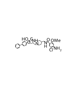 COc1cc(N)c(Cl)cc1C(=O)NCC1CCN(CC(COc2ccc(-c3ccccc3)cc2)NC(=O)O)CC1